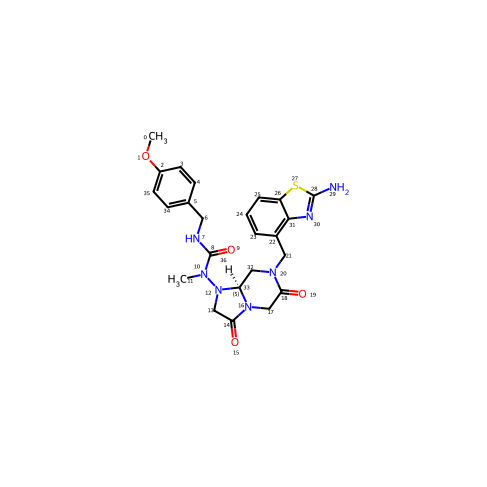 COc1ccc(CNC(=O)N(C)N2CC(=O)N3CC(=O)N(Cc4cccc5sc(N)nc45)C[C@@H]32)cc1